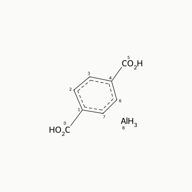 O=C(O)c1ccc(C(=O)O)cc1.[AlH3]